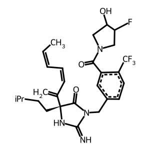 C=C(/C=C\C=C/C)[C@@]1(CCC(C)C)NC(=N)N(Cc2ccc(C(F)(F)F)c(C(=O)N3CC(O)C(F)C3)c2)C1=O